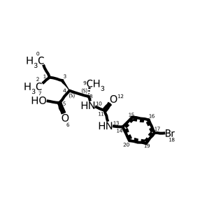 CC(C)C[C@H](C(=O)O)[C@H](C)NC(=O)Nc1ccc(Br)cc1